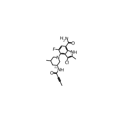 CC#CC(=O)N[C@H]1CC(C)CN(c2c(F)cc(C(N)=O)c3[nH]c(C)c(Cl)c23)C1